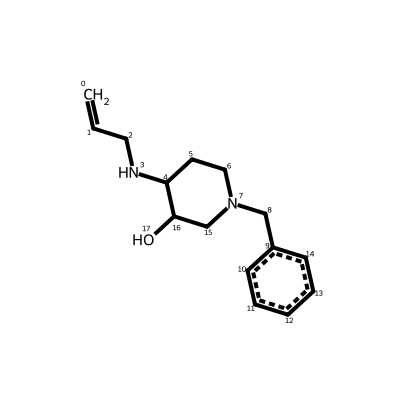 C=CCNC1CCN(Cc2ccccc2)CC1O